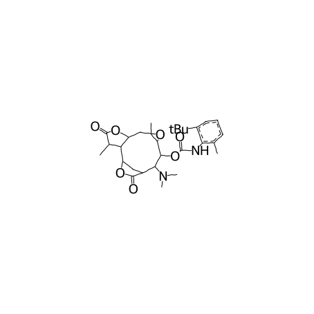 Cc1cccc(C(C)(C)C)c1NC(=O)OC1C(N(C)C)C2CC(OC2=O)C2C(CC3(C)OC13)OC(=O)C2C